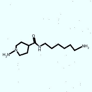 NCCCCCCNC(=O)C1CCN(N)CC1